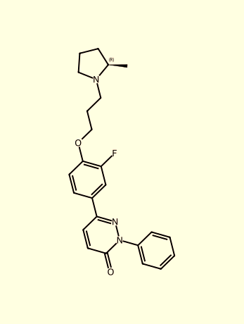 C[C@@H]1CCCN1CCCOc1ccc(-c2ccc(=O)n(-c3ccccc3)n2)cc1F